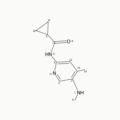 CNc1cnc(NC(=O)C2CC2)cc1C